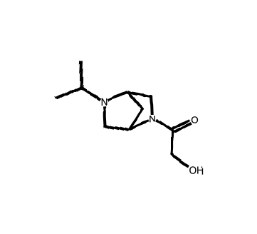 CC(C)N1CC2CC1CN2C(=O)CO